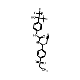 CCS(=O)(=O)c1ccc([C@H](CC#N)NC(=O)Nc2ccc(C(O)(C(F)(F)F)C(F)(F)F)cc2)cc1